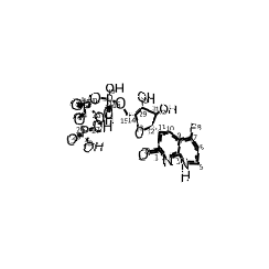 O=c1nc2[nH]ccc(F)c-2cc1[C@@H]1O[C@H](COP(=O)(O)OP(=O)(O)OP(=O)(O)O)[C@H](O)C1O